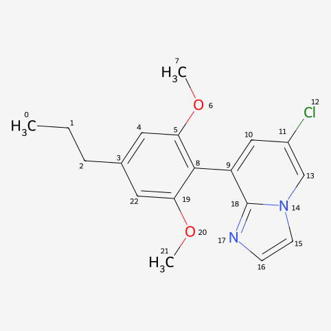 CCCc1cc(OC)c(-c2cc(Cl)cn3ccnc23)c(OC)c1